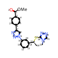 COC(=O)c1ccc(-c2cn(-c3cccc([C@H](C)Sc4nncn4C)c3)nn2)cc1